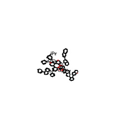 COc1ccc(N(c2cc(-c3ccc4ccccc4c3)cc3ccccc23)c2ccc3oc4c(N(c5ccccc5)c5ccc(C(C)C)cc5)ccc5c6cc(N(c7ccccc7)c7cccc8c(-c9ccccc9)cccc78)cc7oc8c(-c9ccc%10c(ccc%11cc(-c%12ccccc%12-c%12ccc%13ccccc%13c%12)ccc%11%10)c9)ccc(c2c3c45)c8c76)cc1